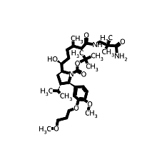 COCCCOc1cc([C@H]2[C@H](C(C)C)C[C@@H]([C@@H](O)CCC(C)CC(=O)NCC(C)(C)C(N)=O)N2C(=O)OC(C)(C)C)ccc1OC